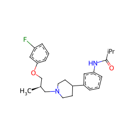 CC(C)C(=O)Nc1cccc(C2CCN(C[C@@H](C)COc3cccc(F)c3)CC2)c1